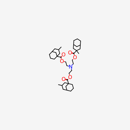 CC1CC2CCCC(C(=O)OCCN(CCOC(=O)C3(C)CC4CCCC(C4)C3)CCOC(=O)C34CCCC(CC(C)C3)C4)(C1)C2